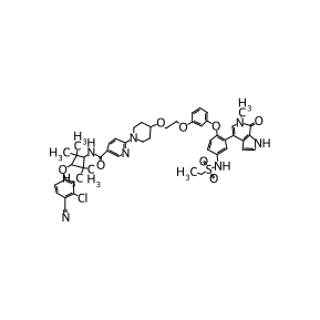 CCS(=O)(=O)Nc1ccc(Oc2cccc(OCCOC3CCN(c4ccc(C(=O)NC5C(C)(C)C(Oc6ccc(C#N)c(Cl)c6)C5(C)C)cn4)CC3)c2)c(-c2cn(C)c(=O)c3[nH]ccc23)c1